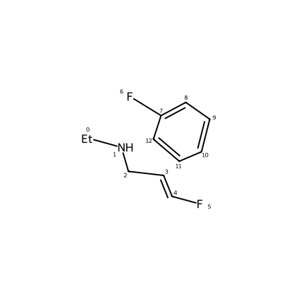 CCNCC=CF.Fc1ccccc1